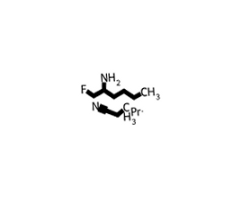 CCC#N.CCCCC(N)CF.[Pr]